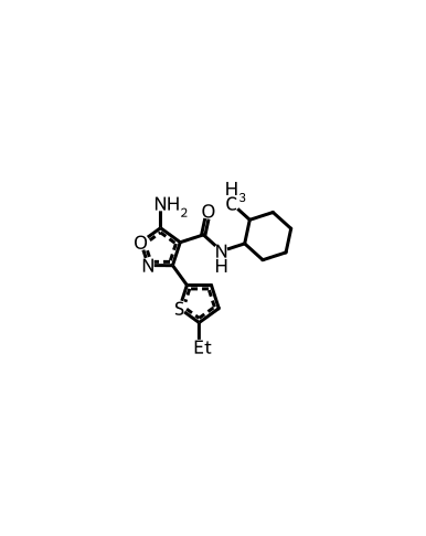 CCc1ccc(-c2noc(N)c2C(=O)NC2CCCCC2C)s1